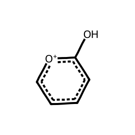 Oc1cccc[o+]1